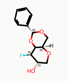 O[C@H]1CO[C@@H]2CO[C@@H](c3ccccc3)OC2[C@@H]1F